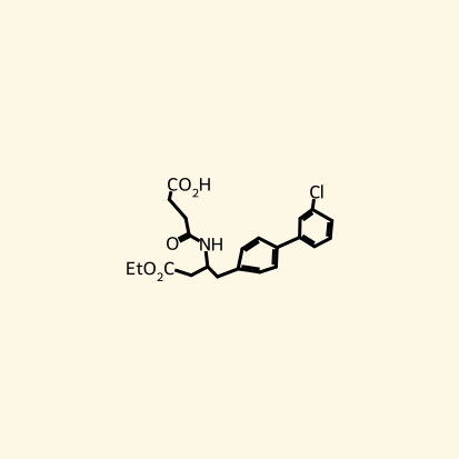 CCOC(=O)CC(Cc1ccc(-c2cccc(Cl)c2)cc1)NC(=O)CCC(=O)O